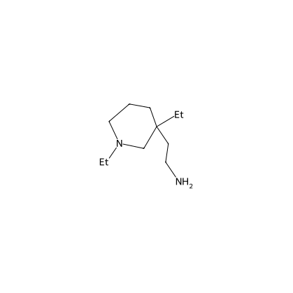 CCN1CCCC(CC)(CCN)C1